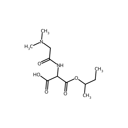 CCC(C)OC(=O)C(NC(=O)CN(C)C)C(=O)O